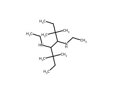 CCNC(C(NCC)C(C)(C)CC)C(C)(C)CC